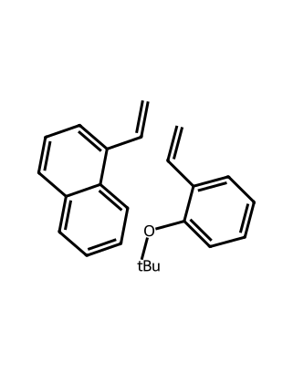 C=Cc1cccc2ccccc12.C=Cc1ccccc1OC(C)(C)C